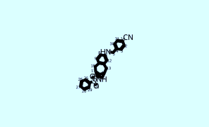 N#Cc1ccc(CNc2ccc3c(c2)CC2CCC(C3)C2NS(=O)(=O)c2ccccc2)cc1